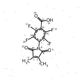 CC1=C(C)C(=O)N(c2c(F)c(F)c(C(=O)O)c(F)c2F)C1=O